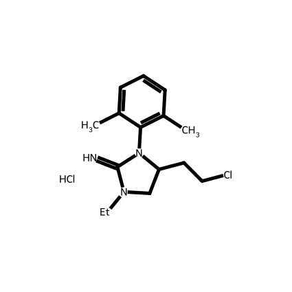 CCN1CC(CCCl)N(c2c(C)cccc2C)C1=N.Cl